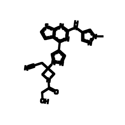 Cn1cc(Nc2nc(-c3cnn(C4(CC#N)CN(C(=O)CO)C4)c3)c3ccsc3n2)cn1